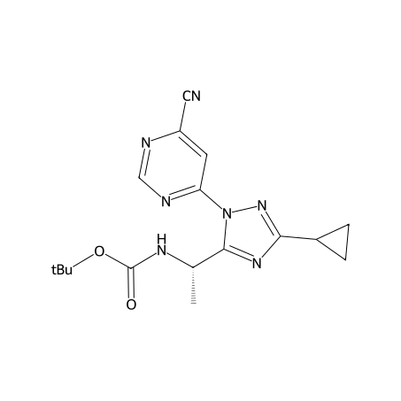 C[C@H](NC(=O)OC(C)(C)C)c1nc(C2CC2)nn1-c1cc(C#N)ncn1